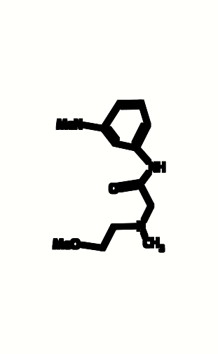 CNc1cccc(NC(=O)CN(C)CCOC)c1